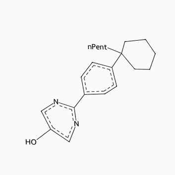 CCCCCC1(c2ccc(-c3ncc(O)cn3)cc2)CCCCC1